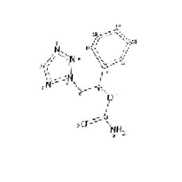 NC(=O)OC(Cn1ncnn1)c1ccccc1